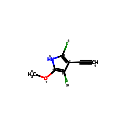 C#Cc1c(F)[nH]c(OC)c1F